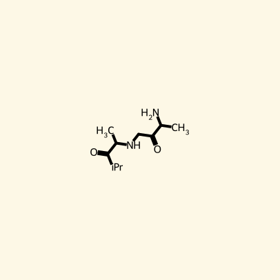 CC(C)C(=O)C(C)NCC(=O)C(C)N